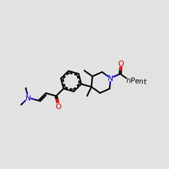 CCCCCC(=O)N1CCC(C)(c2cccc(C(=O)C=CN(C)C)c2)C(C)C1